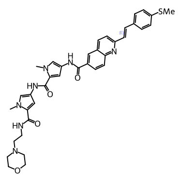 CSc1ccc(/C=C/c2ccc3cc(C(=O)Nc4cc(C(=O)Nc5cc(C(=O)NCCN6CCOCC6)n(C)c5)n(C)c4)ccc3n2)cc1